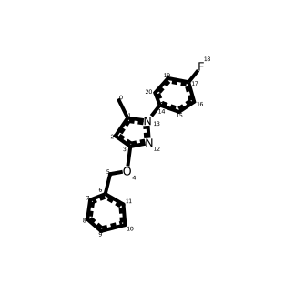 Cc1cc(OCc2ccccc2)nn1-c1ccc(F)cc1